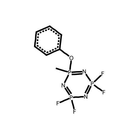 CP1(Oc2ccccc2)=NP(F)(F)=NP(F)(F)=N1